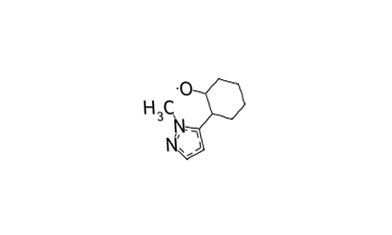 Cn1nccc1C1CCCCC1[O]